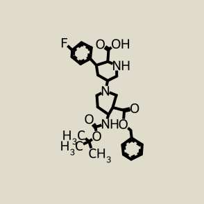 CC(C)(C)OC(=O)NC1CCN(C2CNC(C(=O)O)C(c3ccc(F)cc3)C2)CC1C(=O)OCc1ccccc1